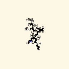 C=CCNC(=O)C(=O)C(C/C=C/C)NC(=O)C1C2C(CN1C(=O)[C@@H](NC(=O)OC(C)(C)C)C(C)(C)C)C2(C)C